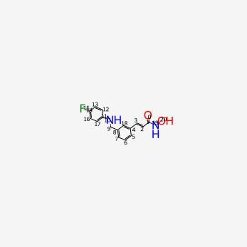 O=C(/C=C/c1cccc(CNc2ccc(F)cc2)c1)NO